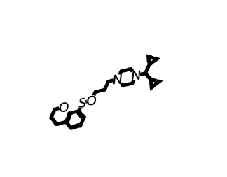 c1cc2c(c(SOCCCN3CCN(C(C4CC4)C4CC4)CC3)c1)OCCC2